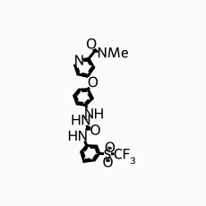 CNC(=O)c1cc(Oc2cccc(NNC(=O)Nc3cccc(S(=O)(=O)C(F)(F)F)c3)c2)ccn1